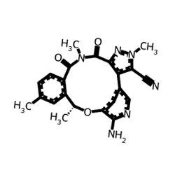 Cc1ccc2c(c1)[C@@H](C)Oc1cc(cnc1N)-c1c(nn(C)c1C#N)C(=O)N(C)C2=O